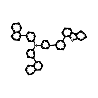 c1cc(-c2ccc(N(c3cccc(-c4cccc5ccccc45)c3)c3cccc(-c4cccc5ccccc45)c3)cc2)cc(-c2cccc3c2sc2ccccc23)c1